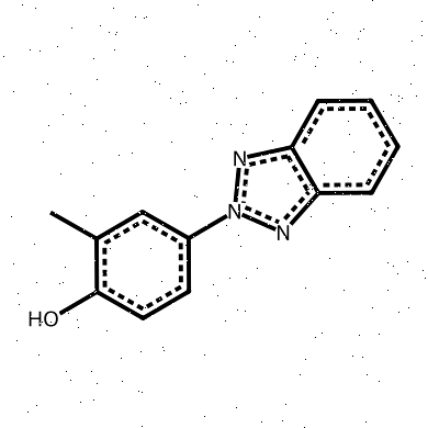 Cc1cc(-n2nc3ccccc3n2)ccc1O